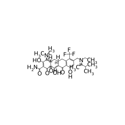 CCN(Cc1cc(O)c2c(c1C(F)(F)F)C[C@H]1C[C@H]3[C@H](N(C)C)C(O)=C(C(N)=O)C(=O)[C@@]3(O)C(O)=C1C2=O)[C@H](C)C(C)C